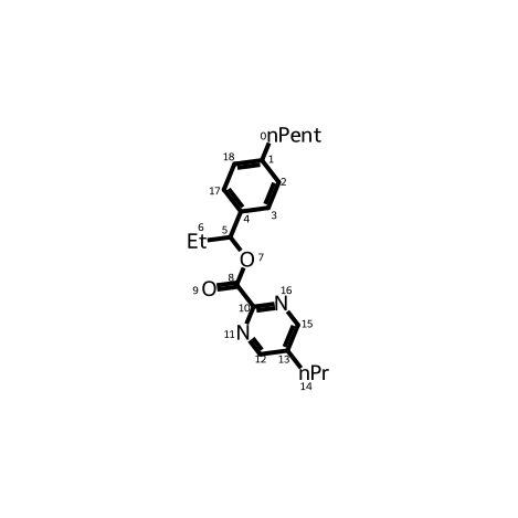 CCCCCc1ccc(C(CC)OC(=O)c2ncc(CCC)cn2)cc1